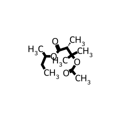 CCC(C)OC(=O)[C@H](C)C(C)(C)OC(C)=O